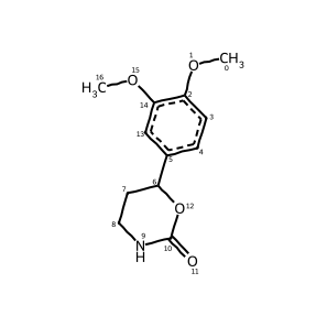 COc1ccc(C2CCNC(=O)O2)cc1OC